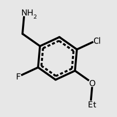 CCOc1cc(F)c(CN)cc1Cl